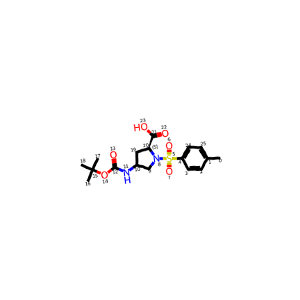 Cc1ccc(S(=O)(=O)N2CC(NC(=O)OC(C)(C)C)C[C@H]2C(=O)O)cc1